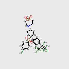 O=S1(=O)CCN([C@H]2CC[C@@](c3ccc(C(F)(C(F)(F)F)C(F)(F)F)cc3)(S(=O)(=O)c3ccc(F)cc3)CC2)CC1